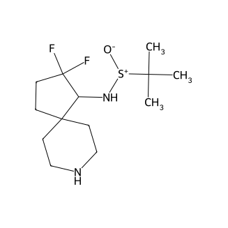 CC(C)(C)[S+]([O-])NC1C(F)(F)CCC12CCNCC2